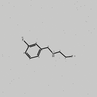 FCCNCc1cccc(F)c1